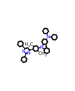 Cc1cc(-n2c3ccccc3c3cc(N(c4ccccc4)c4ccccc4)ccc32)c(C)cc1-c1cc(-c2ccccc2)nc(-c2ccccc2)n1